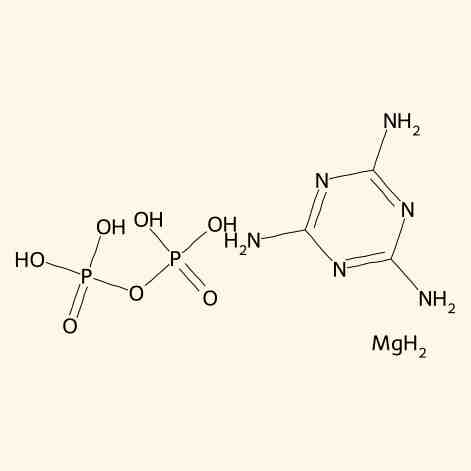 Nc1nc(N)nc(N)n1.O=P(O)(O)OP(=O)(O)O.[MgH2]